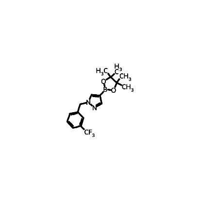 CC1(C)OB(c2cnn(Cc3cccc(C(F)(F)F)c3)c2)OC1(C)C